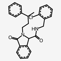 CC(CCN1C(=O)c2ccccc2C1C(=O)NCc1ccccc1Cl)c1ccccc1